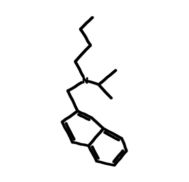 CCCCN(Cc1ccc2ccccc2c1)C(C)C